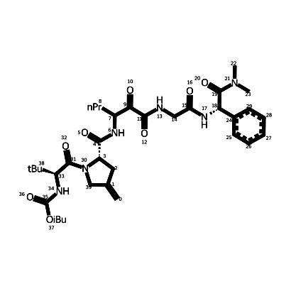 C=C1C[C@@H](C(=O)NC(CCC)C(=O)C(=O)NCC(=O)N[C@H](C(=O)N(C)C)c2ccccc2)N(C(=O)[C@@H](NC(=O)OCC(C)C)C(C)(C)C)C1